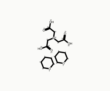 C1CCOCC1.C1CCOCC1.O=C(O)CN(CC(=O)O)CC(=O)O